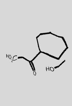 CO.O=C(O)C(=O)C1CCCCC1